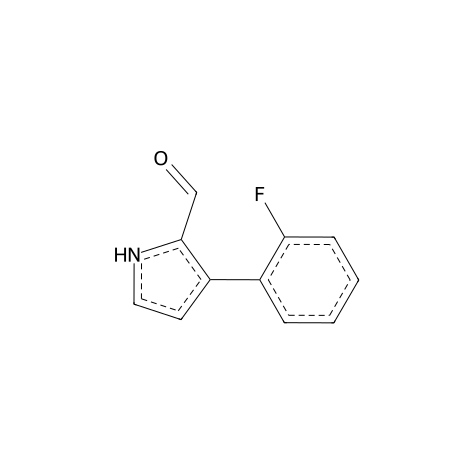 O=Cc1[nH]ccc1-c1ccccc1F